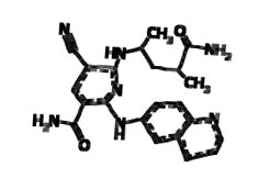 CC(CC(C)C(N)=O)Nc1nc(Nc2ccc3ncccc3c2)c(C(N)=O)cc1C#N